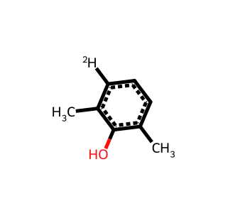 [2H]c1ccc(C)c(O)c1C